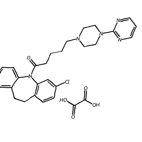 O=C(CCCCN1CCN(c2ncccn2)CC1)N1c2ccccc2CCc2ccc(Cl)cc21.O=C(O)C(=O)O